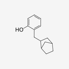 Oc1ccccc1CC1CC2CCC1C2